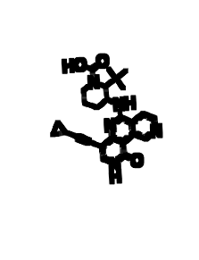 CC(C)(C)C1[C@@H](Nc2nc3c(C#CC4CC4)c[nH]c(=O)c3c3cnccc23)CCCN1C(=O)O